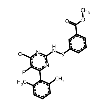 COC(=O)c1cccc(SNc2nc(Cl)c(F)c(-c3c(C)cccc3C)n2)c1